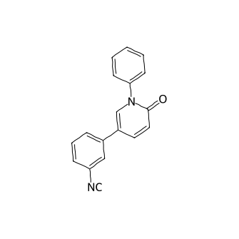 [C-]#[N+]c1cccc(-c2ccc(=O)n(-c3ccccc3)c2)c1